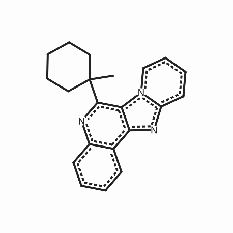 CC1(c2nc3ccccc3c3nc4ccccn4c23)CCCCC1